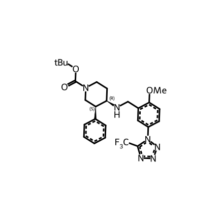 COc1ccc(-n2nnnc2C(F)(F)F)cc1CN[C@@H]1CCN(C(=O)OC(C)(C)C)C[C@@H]1c1ccccc1